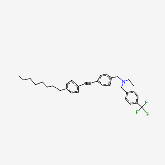 CCCCCCCCc1ccc(C#Cc2ccc(CN(CC)Cc3ccc(C(F)(F)F)cc3)cc2)cc1